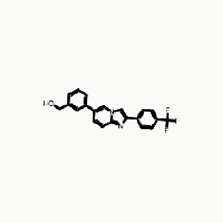 OCc1cccc(-c2ccc3nc(-c4ccc(C(F)(F)F)cc4)cn3c2)c1